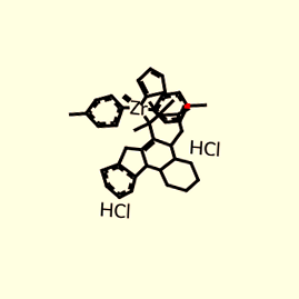 Cl.Cl.[CH2]=[Zr]([C]1=CC=CC1)([c]1ccc(C)cc1)([c]1ccc(C)cc1)[C]1(C)C2=C3Cc4ccccc4C3C3CCCCC3C2CC(C)C1(C)C